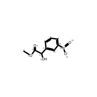 COC(=O)C(O)c1cccc([N+](=O)[O-])c1